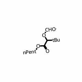 CCCCCOC(=O)C(O[C]=O)C(C)(C)C